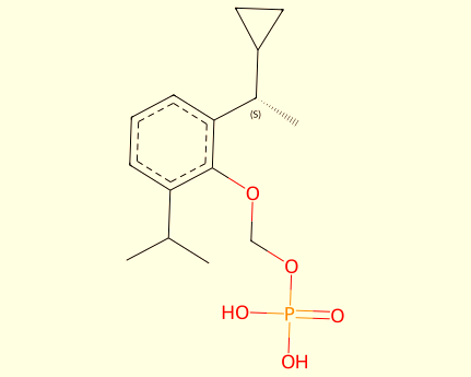 CC(C)c1cccc([C@@H](C)C2CC2)c1OCOP(=O)(O)O